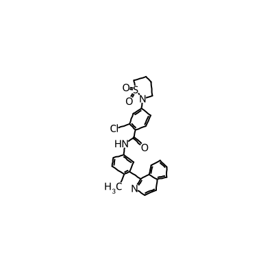 Cc1ccc(NC(=O)c2ccc(N3CCCCS3(=O)=O)cc2Cl)cc1-c1nccc2ccccc12